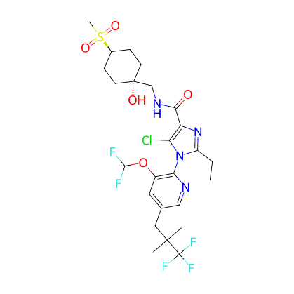 CCc1nc(C(=O)NC[C@]2(O)CC[C@H](S(C)(=O)=O)CC2)c(Cl)n1-c1ncc(CC(C)(C)C(F)(F)F)cc1OC(F)F